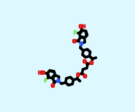 CC(OC(=O)CCC(=O)OC(C)C1CCC(CN2Cc3ccc(O)c(F)c3C2=O)CC1)C1CCC(CN2Cc3ccc(O)c(F)c3C2=O)CC1